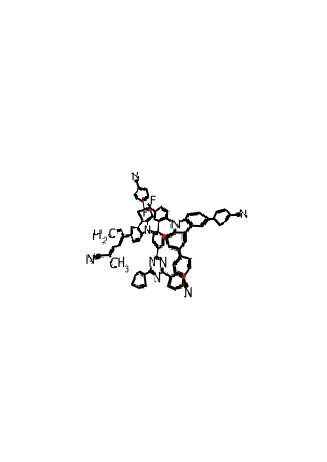 C=C/C(=C\C=C(/C)C#N)c1ccc2c(c1)c1cc(-c3ccc(C#N)cc3)ccc1n2-c1cc(-c2nc(-c3ccccc3)nc(-c3ccccc3)n2)ccc1-c1cc(C(F)(F)F)ccc1-n1c2ccc(-c3ccc(C#N)cc3)cc2c2cc(-c3ccc(C#N)cc3)ccc21